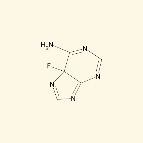 NC1=NC=NC2=NC=NC12F